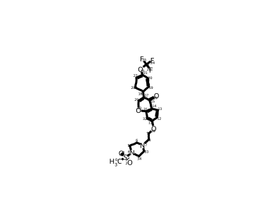 CS(=O)(=O)N1CCN(CCOc2ccc3c(=O)c(C4C=CC(OC(F)(F)F)=CC4)coc3c2)CC1